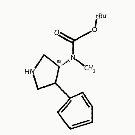 CN(C(=O)OC(C)(C)C)[C@H]1CNCC1c1ccccc1